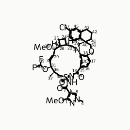 COc1nn(C)cc1C(=O)NS1(=O)=NC(=O)c2ccc3c(c2)N(C[C@@H]2CC[C@H]2[C@@H](OC)/C=C/[C@H](OC(F)F)[C@H](C)C1)C[C@@]1(CCCc2cc(Cl)ccc21)CO3